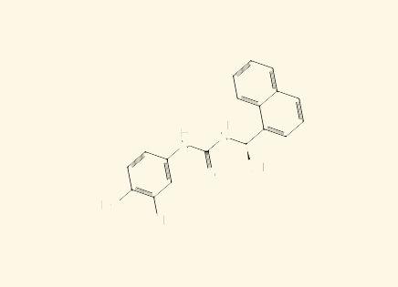 Cc1ccc(NC(=O)N[C@H](C)c2cccc3ccccc23)cc1Cl